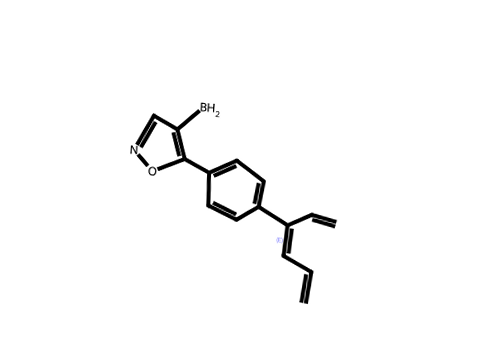 Bc1cnoc1-c1ccc(/C(C=C)=C/C=C)cc1